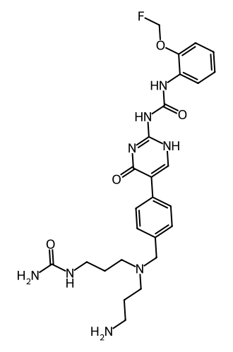 NCCCN(CCCNC(N)=O)Cc1ccc(-c2c[nH]c(NC(=O)Nc3ccccc3OCF)nc2=O)cc1